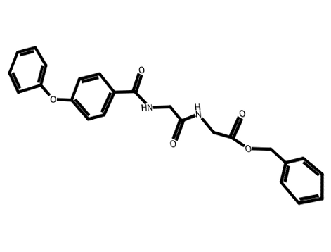 O=C(CNC(=O)c1ccc(Oc2ccccc2)cc1)NCC(=O)OCc1ccccc1